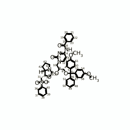 COc1ccc(C(OC[C@H](Cn2ccc(NC(=O)c3ccccc3)nc2=O)O[P@]2O[C@H](CS(=O)(=O)c3ccccc3)[C@@H]3CCCN32)(c2ccccc2)c2ccc(OC)cc2)cc1